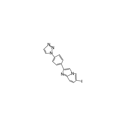 Ic1ccc2nc(-c3ccc(-n4ccnn4)cc3)cn2c1